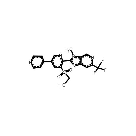 CCS(=O)(=O)c1cc(-c2ccncc2)cnc1-c1nc2cc(C(F)(F)F)ncc2n1C